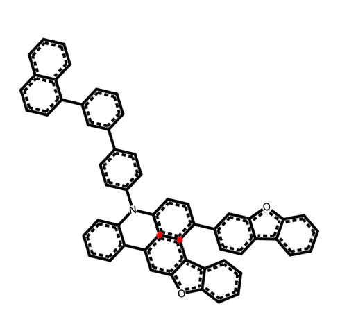 c1cc(-c2ccc(N(c3ccc(-c4ccc5c(c4)oc4ccccc45)cc3)c3ccccc3-c3ccc4c(c3)oc3ccccc34)cc2)cc(-c2cccc3ccccc23)c1